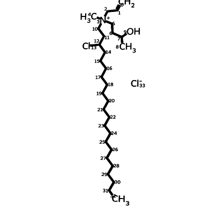 C=CC[N+](C)(CCC(C)O)CCC(Cl)CCCCCCCCCCCCCCCCCCC.[Cl-]